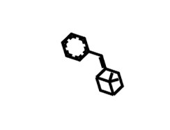 CC1(C)C2CCC(=Cc3ccccc3)C1C2